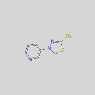 SC1=NN(c2cccnc2)CS1